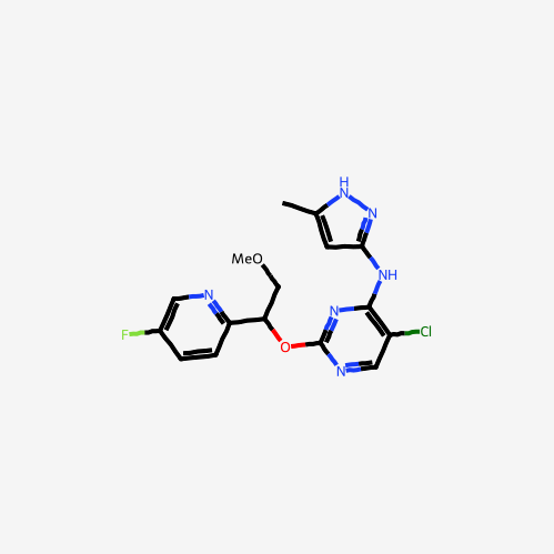 COCC(Oc1ncc(Cl)c(Nc2cc(C)[nH]n2)n1)c1ccc(F)cn1